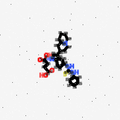 O=C(O)/C=C/C(=O)O.S=C(Nc1ccccc1)Nc1ccc2[nH]cc(C3CCN4CCCCC4C3)c2c1